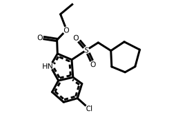 CCOC(=O)c1[nH]c2ccc(Cl)cc2c1S(=O)(=O)CC1CCCCC1